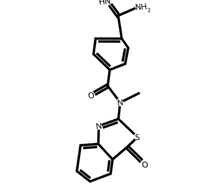 CN(C(=O)c1ccc(C(=N)N)cc1)c1nc2ccccc2c(=O)s1